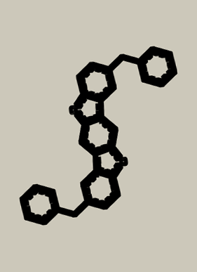 c1ccc(Cc2ccc3oc4cc5c(cc4c3c2)oc2ccc(Cc3ccccc3)cc25)cc1